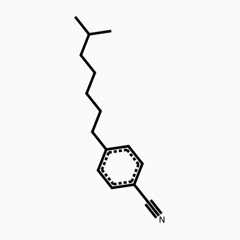 CC(C)CCCCCc1ccc(C#N)cc1